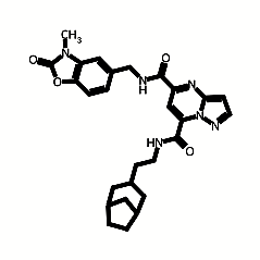 Cn1c(=O)oc2ccc(CNC(=O)c3cc(C(=O)NCCC4CC5CCC(C4)C5)n4nccc4n3)cc21